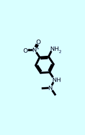 CN(C)Nc1ccc([N+](=O)[O-])c(N)c1